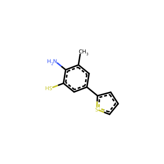 Cc1cc(-c2cccs2)cc(S)c1N